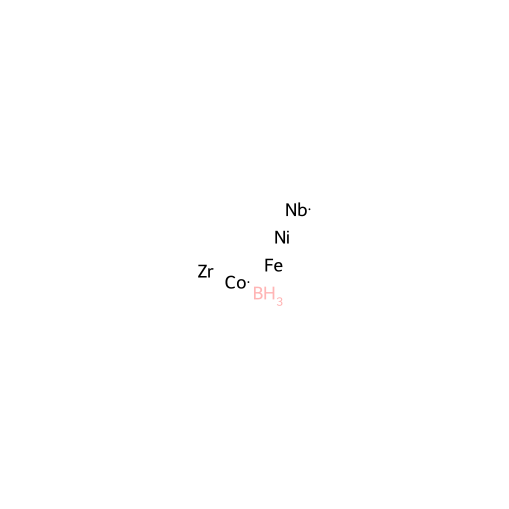 B.[Co].[Fe].[Nb].[Ni].[Zr]